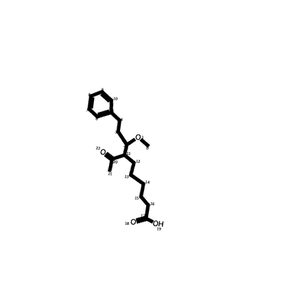 COC(CCc1ccccc1)C(CCCCCC(=O)O)C(C)=O